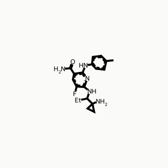 CCC(Nc1nc(Nc2ccc(C)cc2)c(C(N)=O)cc1F)C1(N)CC1